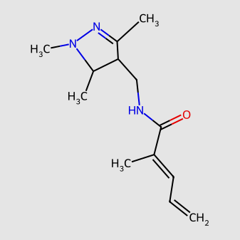 C=C/C=C(\C)C(=O)NCC1C(C)=NN(C)C1C